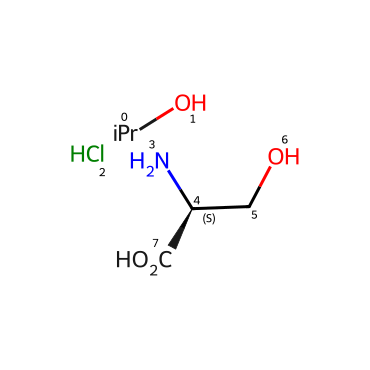 CC(C)O.Cl.N[C@@H](CO)C(=O)O